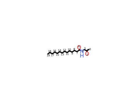 [CH2]C(=O)CNC(=O)CCCCCCCCCCCCC